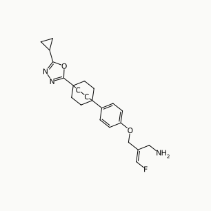 NC/C(=C\F)COc1ccc(C23CCC(c4nnc(C5CC5)o4)(CC2)CC3)cc1